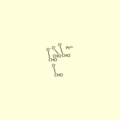 O=C[O-].O=C[O-].O=C[O-].O=C[O-].[Pt+4]